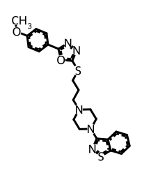 COc1ccc(-c2nnc(SCCCN3CCN(c4nsc5ccccc45)CC3)o2)cc1